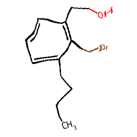 CCCc1cccc(CO)c1Br